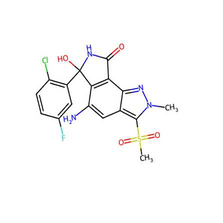 Cn1nc2c3c(c(N)cc2c1S(C)(=O)=O)C(O)(c1cc(F)ccc1Cl)NC3=O